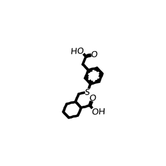 O=C(O)Cc1cccc(SCC2CCCCC2C(=O)O)c1